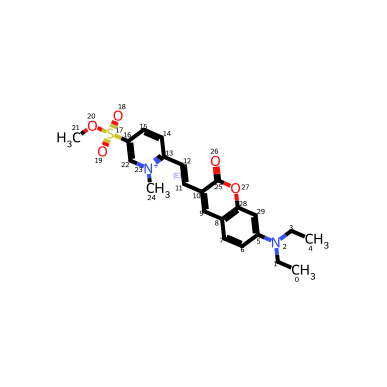 CCN(CC)c1ccc2cc(/C=C/c3ccc(S(=O)(=O)OC)c[n+]3C)c(=O)oc2c1